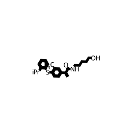 C=C(C(=O)NCCCCCO)c1ccc(Sc2ccccc2C(C)C)c(C(F)(F)F)c1